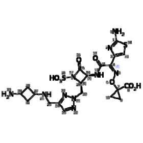 Nc1nc(/C(=N/OC2(C(=O)O)CC2)C(=O)N[C@@H]2C(=O)N(S(=O)(=O)O)[C@@H]2Cn2ncc(CNC3CC(N)C3)n2)cs1